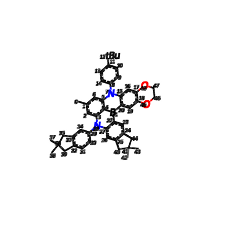 Cc1cc2c3c(c1)N(c1ccc(C(C)(C)C)cc1)c1cc4c(cc1B3c1cc3c(cc1N2c1ccc2c(c1)CC(C)(C)C2)CC(C)(C)C3)OCCO4